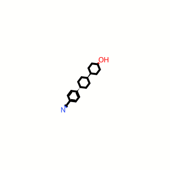 N#Cc1ccc([C@H]2CC[C@H](C3CCC(O)CC3)CC2)cc1